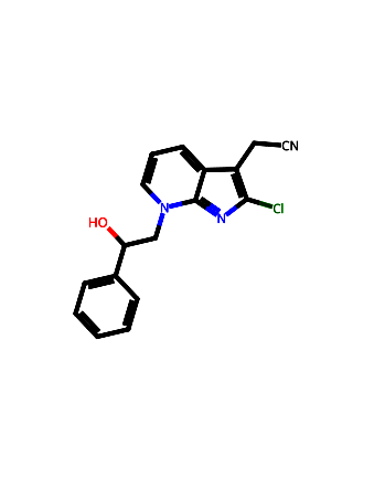 N#CCc1c2cccn(CC(O)c3ccccc3)c-2nc1Cl